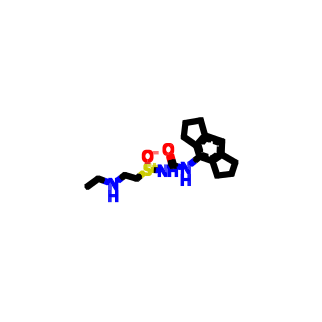 CCNCC[S+]([O-])NC(=O)Nc1c2c(cc3c1CCC3)CCC2